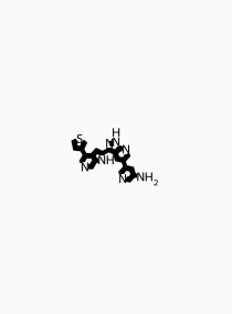 Nc1cncc(-c2cnc3[nH]nc(-c4cc5c(-c6ccsc6)cncc5[nH]4)c3c2)c1